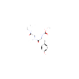 CN(CC(=O)NCC(=O)O)C(=O)[C@H](Cc1ccc(O)cc1)NC(=O)OC(C)(C)C